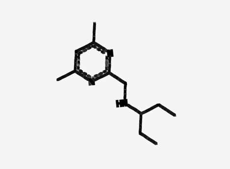 CCC(CC)NCc1nc(C)cc(C)n1